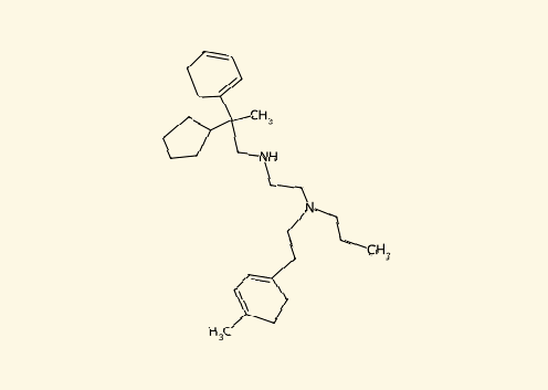 CCCN(CCNCC(C)(C1=CC=CCC1)C1CCCC1)CCC1=CC=C(C)CC1